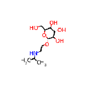 CC(C)NCCO[C@@H]1OC(CO)[C@@H](O)[C@H](O)C1O